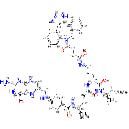 CSC[C@@H](C)NC(=O)C(CCCNC(=O)CCC(=O)N1Cc2ccccc2-c2[nH]nnc2-c2ccccc21)NC(=O)CC[C@@H](C)NC(=O)c1ccc(NCc2cnc3nc(N)[nH]c(=O)c3n2)cc1